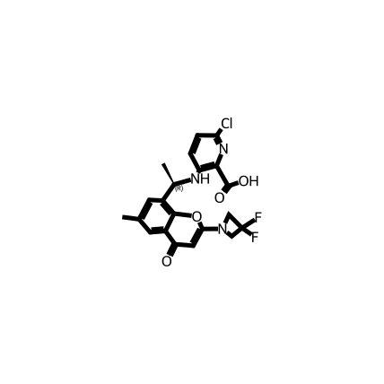 Cc1cc([C@@H](C)Nc2ccc(Cl)nc2C(=O)O)c2oc(N3CC(F)(F)C3)cc(=O)c2c1